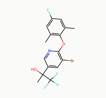 Cc1cc(F)cc(C)c1Oc1ncc(C(C)(O)C(F)(F)F)cc1Br